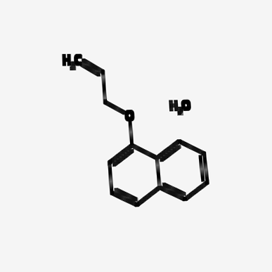 C=CCOc1cccc2ccccc12.O